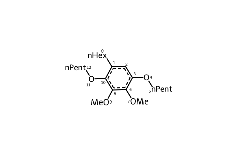 CCCCCCc1cc(OCCCCC)c(OC)c(OC)c1OCCCCC